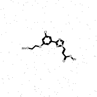 COCCOc1cc(Cl)cc(-c2ncn(C=CC(=O)OC(C)C)n2)c1